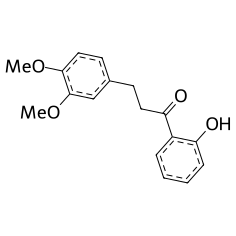 COc1ccc(CCC(=O)c2ccccc2O)cc1OC